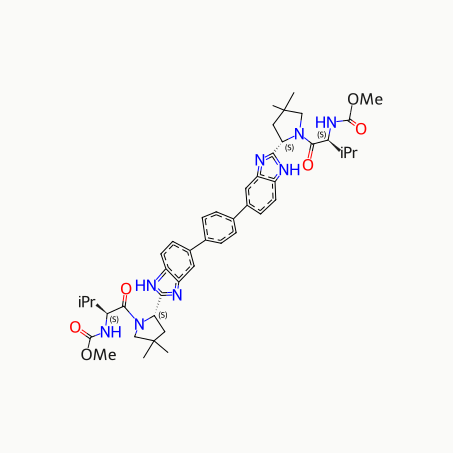 COC(=O)N[C@H](C(=O)N1CC(C)(C)C[C@H]1c1nc2cc(-c3ccc(-c4ccc5[nH]c([C@@H]6CC(C)(C)CN6C(=O)[C@@H](NC(=O)OC)C(C)C)nc5c4)cc3)ccc2[nH]1)C(C)C